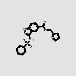 O=C(NCc1cccs1)c1ccc2[nH]nc(NS(=O)(=O)c3ccccc3)c2c1